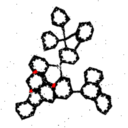 c1ccc(-c2ccc(-c3cc4ccccc4c4ccccc34)cc2N(c2ccc3c(c2)C(c2ccccc2)(c2ccccc2)c2ccccc2-3)c2ccccc2-c2cccc3c2oc2ccccc23)cc1